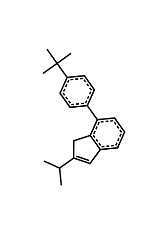 CC(C)C1=Cc2cccc(-c3ccc(C(C)(C)C)cc3)c2C1